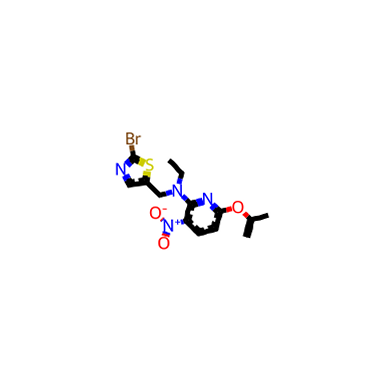 C=C(C)Oc1ccc([N+](=O)[O-])c(N(CC)Cc2cnc(Br)s2)n1